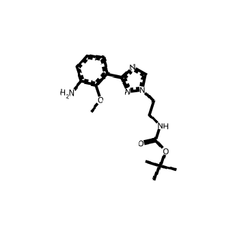 COc1c(N)cccc1-c1ncn(CCNC(=O)OC(C)(C)C)n1